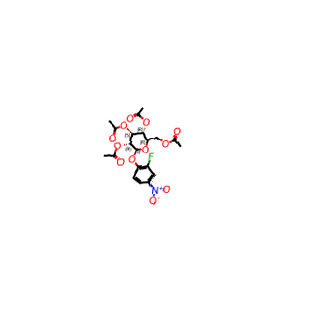 CC(=O)OC[C@H]1O[C@@H](Oc2ccc([N+](=O)[O-])cc2F)[C@H](OC(C)=O)[C@@H](OC(C)=O)[C@@H]1OC(C)=O